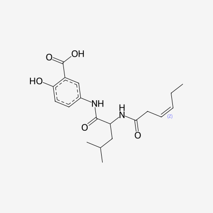 CC/C=C\CC(=O)NC(CC(C)C)C(=O)Nc1ccc(O)c(C(=O)O)c1